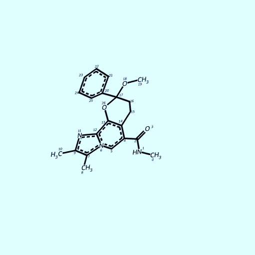 CNC(=O)c1cn2c(C)c(C)nc2c2c1CCC(OC)(c1ccccc1)O2